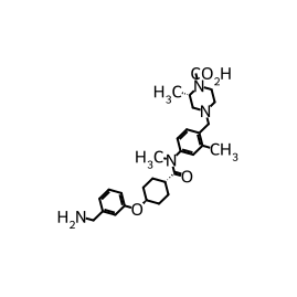 Cc1cc(N(C)C(=O)[C@H]2CC[C@H](Oc3cccc(CN)c3)CC2)ccc1CN1CCN(C(=O)O)[C@@H](C)C1